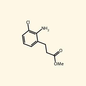 COC(=O)CCc1cccc(Cl)c1N